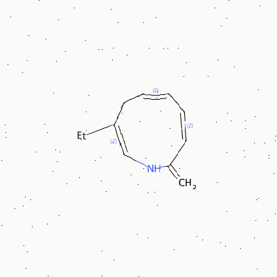 C=C1/C=C\C=C/C/C(CC)=C\N1